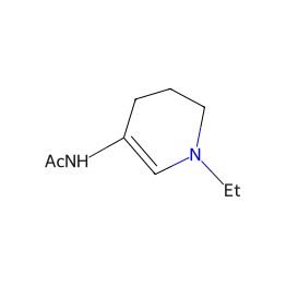 CCN1C=C(NC(C)=O)CCC1